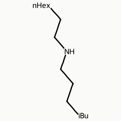 CCCCCCCCNCCCC(C)CC